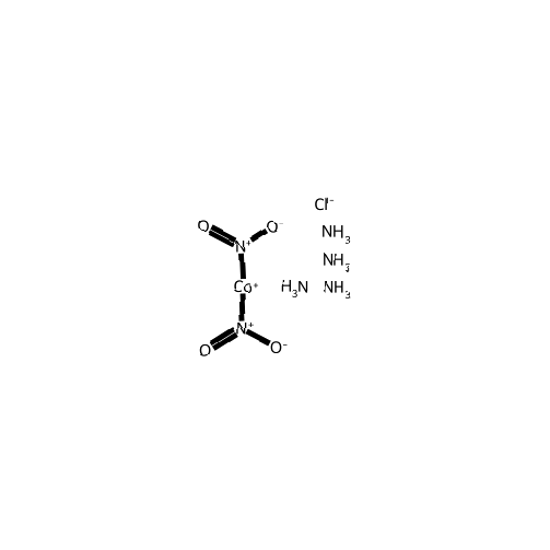 N.N.N.N.O=[N+]([O-])[Co+][N+](=O)[O-].[Cl-]